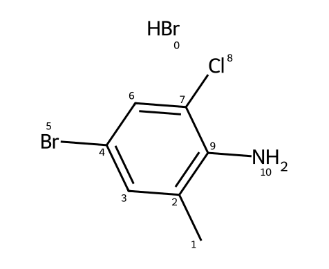 Br.Cc1cc(Br)cc(Cl)c1N